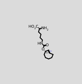 N[C@@H](CCCCNC(=O)O[C@@H]1/C=C/CCCCC1)C(=O)O